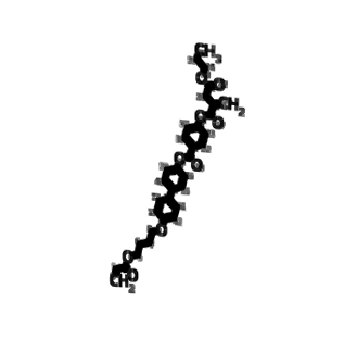 C=CC(=O)OCCCCOc1ccc(-c2ccc(OC(=O)c3ccc(OC(=O)C(=C)CC(=O)OCCC)cc3)cc2)cc1